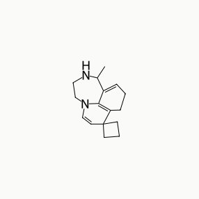 CC1NCCN2C=CC3(CCC3)C3=C2C1=CCC3